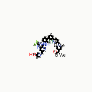 COC(=O)CC1CCN(Cc2ccc(-c3cccc(-c4cccc(Nc5nc(C(F)F)nc6cc(CN7CC[C@@H](O)C7)cnc56)c4C)c3Cl)nc2OC)CC1